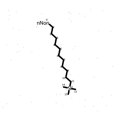 [CH2]CCCCCCCCCCCCCCCCCCC[Si](C)(C)C